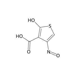 O=Nc1csc(O)c1C(=O)O